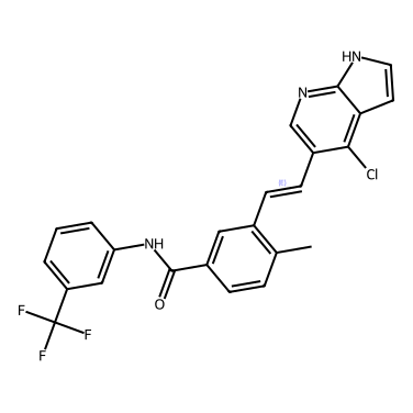 Cc1ccc(C(=O)Nc2cccc(C(F)(F)F)c2)cc1/C=C/c1cnc2[nH]ccc2c1Cl